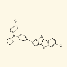 Clc1ccc(N(c2ccccc2)c2ccc(-c3ccc4c(c3)sc3c5ccc(Cl)cc5sc43)cc2)cc1